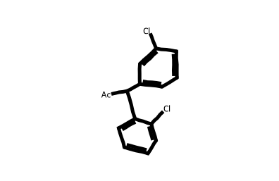 CC(=O)C(c1cccc(Cl)c1)c1ccccc1Cl